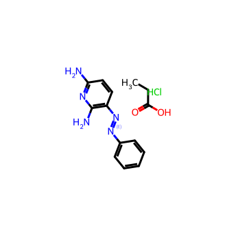 CCC(=O)O.Cl.Nc1ccc(/N=N/c2ccccc2)c(N)n1